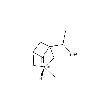 CC(O)C12CC(C[C@@H](C)C1)N2